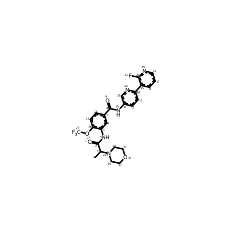 CC(C(=O)Nc1cc(C(=O)Nc2ccc(-c3cccnc3F)nc2)ccc1OC(F)(F)F)N1CCOCC1